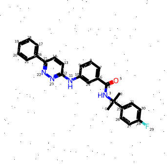 CC(C)(NC(=O)c1cccc(Nc2ccc(-c3ccccc3)nn2)c1)c1ccc(F)cc1